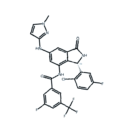 Cn1ccc(Nc2cc(NC(=O)c3cc(F)cc(C(F)(F)F)c3)c3c(c2)C(=O)N[C@@H]3c2cc(F)ccc2Cl)n1